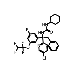 O=C(NC1CCCCC1)N[C@@](Cc1ccccc1)(c1cc(F)cc(OC(F)(F)C(F)F)c1)c1ccc(Cl)cn1